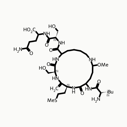 C=C1N[C@@H](CO)C(=O)NC(C(=O)N[C@@H](CO)C(=O)NC(CCC(N)=O)C(=O)O)CCCCNC(OC)CCC(NC(=O)C(N)[C@@H](C)CC)C(=O)N[C@H]1CCSC